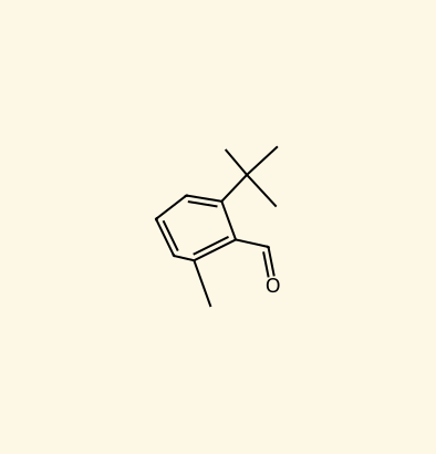 Cc1cccc(C(C)(C)C)c1C=O